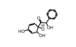 O=C(C(O)c1ccccc1)C1(O)C=CC(O)=CC1O